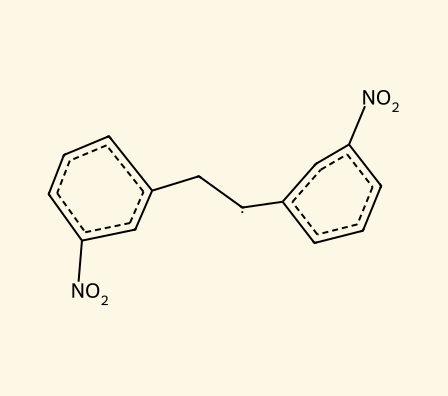 O=[N+]([O-])c1cccc([CH]Cc2cccc([N+](=O)[O-])c2)c1